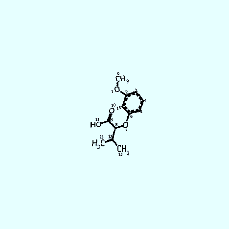 COc1cccc(OC(C(=O)O)C(C)C)c1